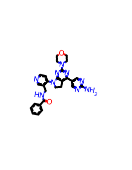 Nc1ncc(-c2nc(N3CCOCC3)nc3c2CCN3c2ccncc2CNC(=O)c2ccccc2)cn1